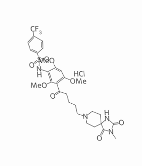 COc1cc(OC)c(C(=O)CCCCN2CCC3(CC2)NC(=O)N(C)C3=O)c(OC)c1NS(=O)(=O)c1ccc(C(F)(F)F)cc1.Cl